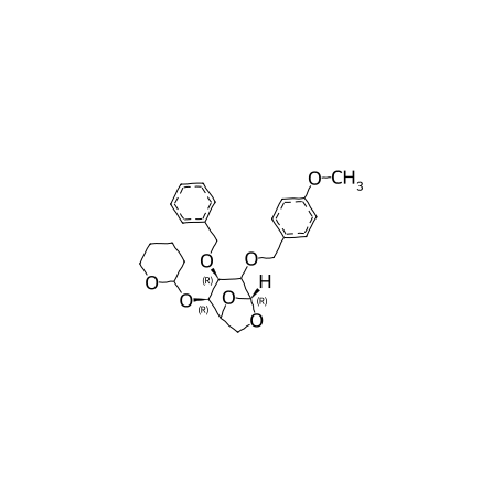 COc1ccc(COC2[C@@H]3OCC(O3)[C@@H](OC3CCCCO3)[C@H]2OCc2ccccc2)cc1